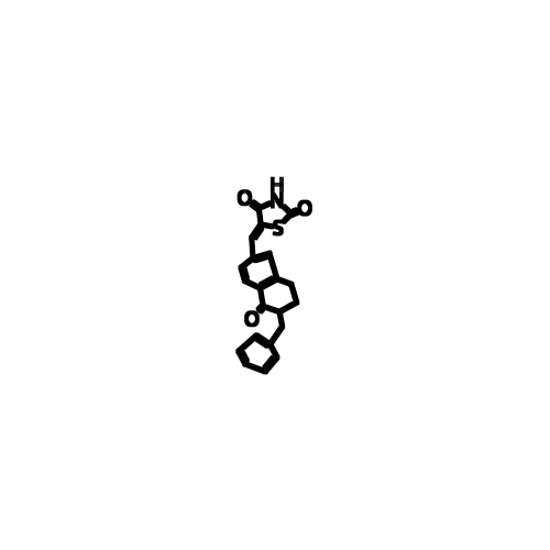 O=C1NC(=O)C(=Cc2ccc3c(c2)CCC(Cc2ccccc2)C3=O)S1